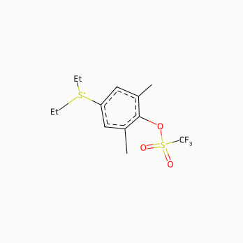 CC[S+](CC)c1cc(C)c(OS(=O)(=O)C(F)(F)F)c(C)c1